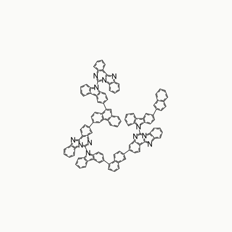 c1ccc2cc(-c3ccc4c(c3)c3ccccc3n4-c3nc4cc(-c5ccc6c(-c7ccc8c(c7)c7ccccc7n8-c7nc8cc(-c9ccc%10c(-c%11ccc%12c(c%11)c%11ccccc%11n%12-c%11nc%12ccccc%12c%12nc%13ccccc%13n%11%12)cc%11ccccc%11c%10c9)ccc8c8nc9ccccc9n78)cccc6c5)ccc4c4nc5ccccc5n34)ccc2c1